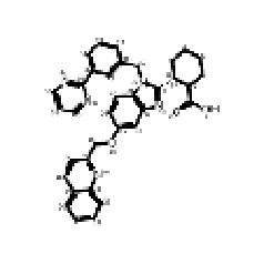 O=C(O)C1CCCC[C@H]1c1nc2cc(OCc3ccc4ccccc4n3)ccc2n1Cc1cccc(-c2ncccn2)c1